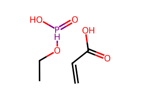 C=CC(=O)O.CCO[PH](=O)O